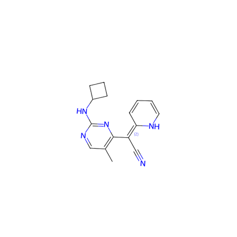 Cc1cnc(NC2CCC2)nc1/C(C#N)=C1\C=CC=CN1